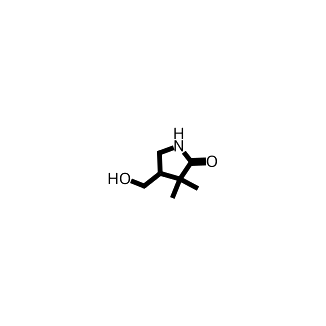 CC1(C)C(=O)NCC1CO